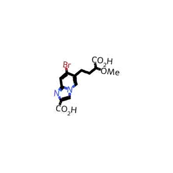 COC(CCc1cn2cc(C(=O)O)nc2cc1Br)C(=O)O